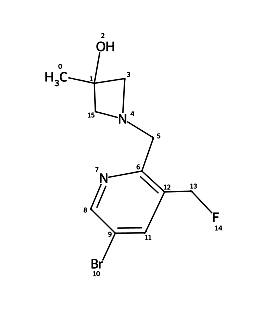 CC1(O)CN(Cc2ncc(Br)cc2CF)C1